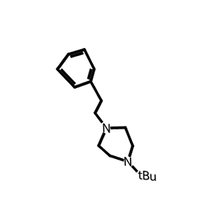 CC(C)(C)N1CCN(CCc2ccccc2)CC1